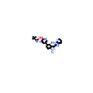 CC(C)(C)CC(O)Nc1cncc(-c2ccc3[nH]nc(-c4nc5cccnc5[nH]4)c3c2)c1